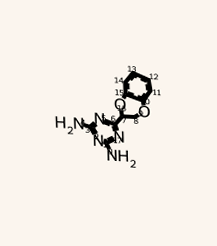 Nc1nc(N)nc(C2COc3ccccc3O2)n1